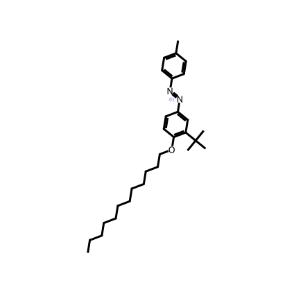 CCCCCCCCCCCCOc1ccc(/N=N/c2ccc(C)cc2)cc1C(C)(C)C